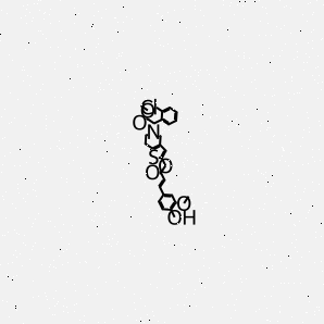 COC(=O)C(c1ccccc1Cl)N1CCc2sc(OC(=O)C=Cc3ccc(O)c(OC)c3)cc2C1